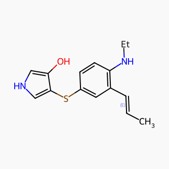 C/C=C/c1cc(Sc2c[nH]cc2O)ccc1NCC